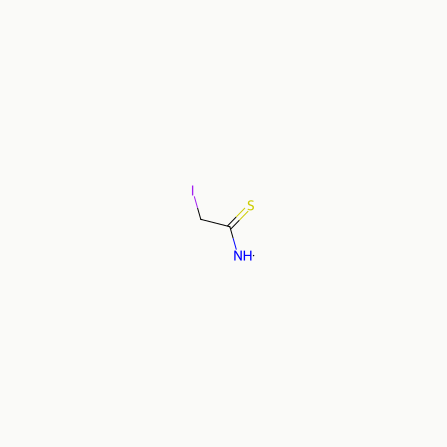 [NH]C(=S)CI